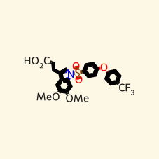 COc1cc2c(CCC(=O)O)cn(S(=O)(=O)c3ccc(Oc4ccc(C(F)(F)F)cc4)cc3)c2cc1OC